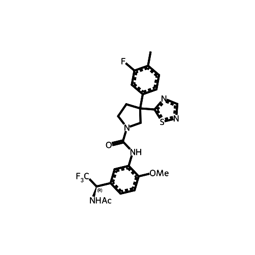 COc1ccc([C@@H](NC(C)=O)C(F)(F)F)cc1NC(=O)N1CCC(c2ccc(C)c(F)c2)(c2ncns2)C1